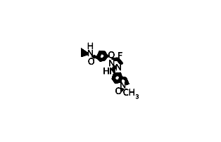 CC(=O)N1CCc2cc(Nc3ncc(F)c(Oc4ccc(C(=O)NC5CC5)cc4)n3)ccc21